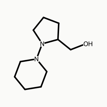 OCC1CCCN1N1CCCCC1